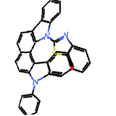 c1ccc(-n2c3ccccc3c3c4c(ccc5c6ccccc6n(-c6nc7ccccc7s6)c54)ccc32)cc1